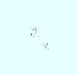 CCCc1ncccc1CNCCCOc1ccc2c(c1)N(C)C(=O)C(C)(C)C(=O)N2CC